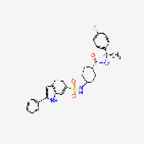 C[C@@H](NC(=O)[C@H]1CC[C@H](NS(=O)(=O)c2ccc3cc(-c4ccccc4)[nH]c3c2)CC1)c1ccc(F)cc1